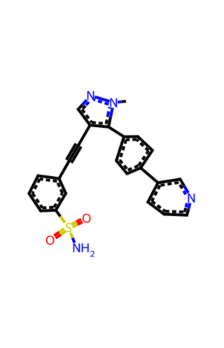 Cn1ncc(C#Cc2cccc(S(N)(=O)=O)c2)c1-c1ccc(-c2cccnc2)cc1